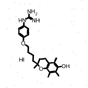 Cc1c(C)c2c(c(C)c1O)CCC(C)(CCCCOc1ccc(NC(=N)N)cc1)O2.I